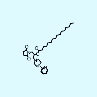 CCCCCCCCCCCCCCCC(=O)OC(CN1CCN(c2ccccn2)CC1)CN1C(=O)CCC1=O